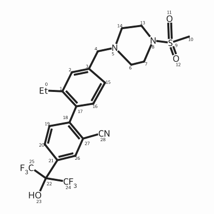 CCc1cc(CN2CCN(S(C)(=O)=O)CC2)ccc1-c1ccc(C(O)(C(F)(F)F)C(F)(F)F)cc1C#N